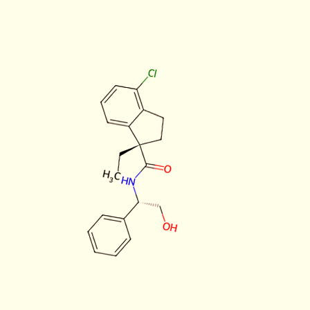 CC[C@]1(C(=O)N[C@H](CO)c2ccccc2)CCc2c(Cl)cccc21